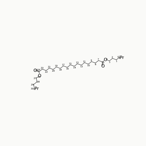 CC(C)CCCOC(=O)CCCCCCCCCCCCCCCCCC(=O)OCCCC(C)C